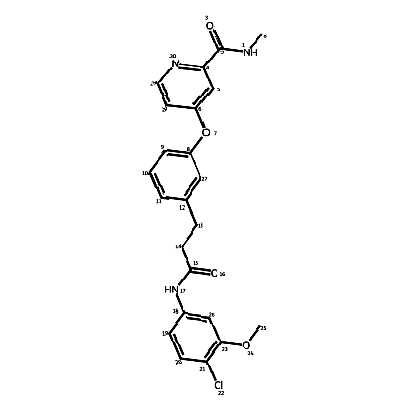 CNC(=O)c1cc(Oc2cccc(CCC(=O)Nc3ccc(Cl)c(OC)c3)c2)ccn1